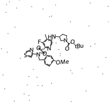 COc1ccc(CN(c2cscn2)S(=O)(=O)c2ncc(NC3CCN(C(=O)OC(C)(C)C)C3)c(C)c2F)cc1